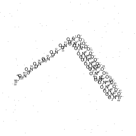 O=[N+]([O-])[O-].O=[N+]([O-])[O-].O=[N+]([O-])[O-].O=[N+]([O-])[O-].O=[N+]([O-])[O-].O=[N+]([O-])[O-].O=[N+]([O-])[O-].O=[N+]([O-])[O-].O=[N+]([O-])[O-].O=[N+]([O-])[O-].O=[N+]([O-])[O-].O=[N+]([O-])[O-].O=[N+]([O-])[O-].O=[N+]([O-])[O-].O=[N+]([O-])[O-].O=[N+]([O-])[O-].O=[N+]([O-])[O-].O=[N+]([O-])[O-].O=[N+]([O-])[O-].O=[N+]([O-])[O-].O=[N+]([O-])[O-].O=[N+]([O-])[O-].O=[N+]([O-])[O-].O=[N+]([O-])[O-].[Tl+].[Tl+].[Tl+]